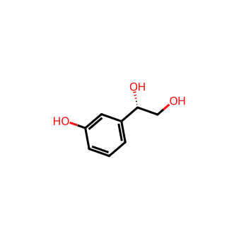 OC[C@@H](O)c1cccc(O)c1